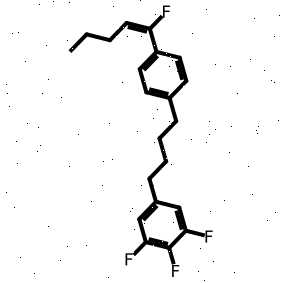 CCC/C=C(/F)c1ccc(CCCCc2cc(F)c(F)c(F)c2)cc1